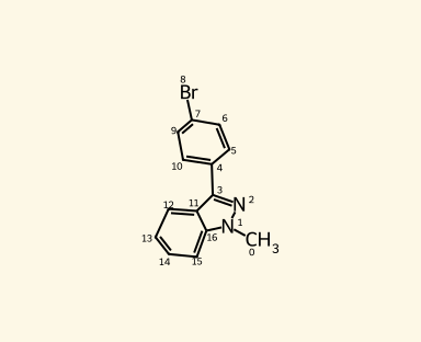 Cn1nc(-c2ccc(Br)cc2)c2ccccc21